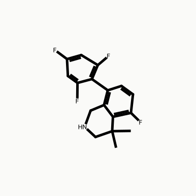 CC1(C)CNCc2c(-c3c(F)cc(F)cc3F)ccc(F)c21